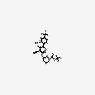 Cc1c(-c2ccc(C(F)(F)F)cc2O)nnc(S[C@@H]2CCCN(C(=O)OC(C)(C)C)C2)c1C#N